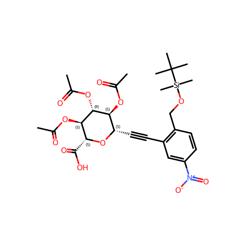 CC(=O)O[C@@H]1[C@@H](OC(C)=O)[C@H](C#Cc2cc([N+](=O)[O-])ccc2CO[Si](C)(C)C(C)(C)C)O[C@H](C(=O)O)[C@H]1OC(C)=O